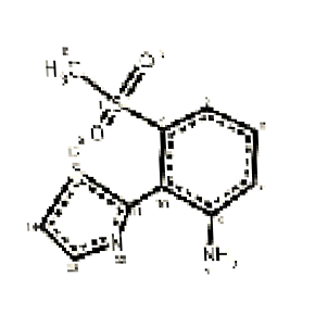 CS(=O)(=O)c1cccc(N)c1-c1nccs1